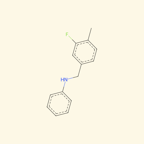 Cc1ccc(CNc2ccccc2)cc1F